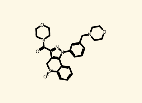 O=C(c1nn(-c2cccc(CN3CCOCC3)c2)c2c1C[S+]([O-])c1ccccc1-2)N1CCOCC1